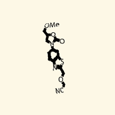 COCC1CN(c2ccc3nc(COCC#N)sc3c2)C(=O)O1